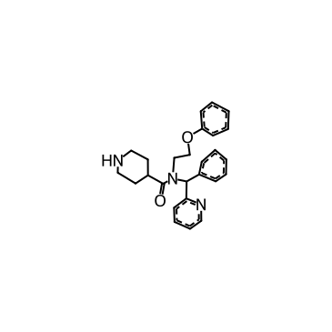 O=C(C1CCNCC1)N(CCOc1ccccc1)C(c1ccccc1)c1ccccn1